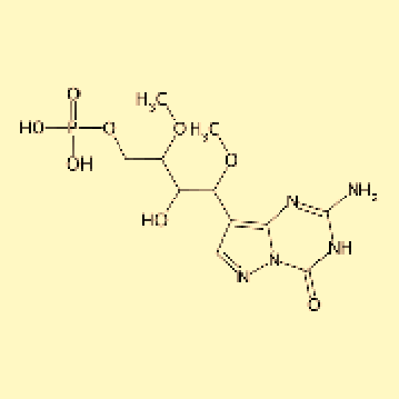 COC(COP(=O)(O)O)C(O)C(OC)c1cnn2c(=O)[nH]c(N)nc12